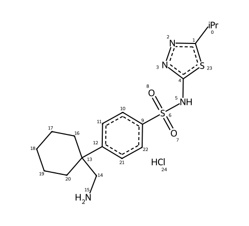 CC(C)c1nnc(NS(=O)(=O)c2ccc(C3(CN)CCCCC3)cc2)s1.Cl